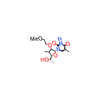 COCCO[C@@H]1[C@H](C)[C@@H]([C@H](C)O)O[C@H]1n1cc(C)c(=O)[nH]c1=O